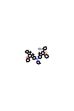 Cc1cccc(N(c2ccc3c(c2)C(C)(C)c2cc(-c4ccccc4C(C)(C)C)c4oc5ccccc5c4c2-3)c2ccc3c(c2)C(C)(C)c2c4c(c5oc6ccccc6c5c2-3)-c2ccccc2C4(C)C)c1